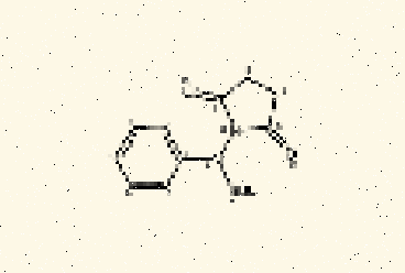 CCCCN(c1ccccc1)N1C(=O)CCC1=O